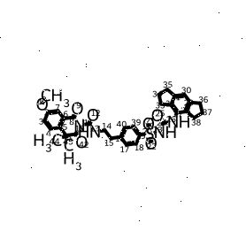 COc1ccc2c(c1)C(=O)N(C(=O)NCCc1ccc(S(=O)(=O)NC(=O)Nc3c4c(cc5c3CCC5)CCC4)cc1)C(=O)C2(C)C